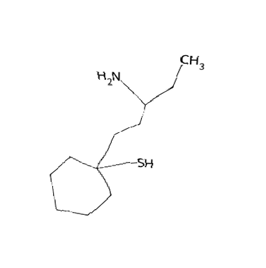 CCC(N)CCC1(S)CCCCC1